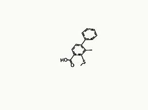 CSc1c(C(=O)O)ccc(-c2ccccc2)c1C